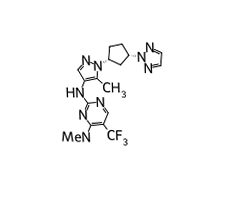 CNc1nc(Nc2cnn([C@@H]3CC[C@H](n4nccn4)C3)c2C)ncc1C(F)(F)F